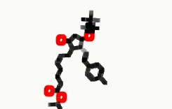 Cc1ccc(C=C[C@@H]2C(C/C=C\CCCC(=O)OC(C)C)C(=O)C[C@H]2O[Si](C)(C)C(C)(C)C)cc1